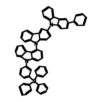 c1ccc(-c2ccc3c(c2)c2ccccc2n3-c2ccc3c(c2)c2ccccc2n3-c2cccc3c2c2ccccc2n3-c2cccc([Si](c3ccccc3)(c3ccccc3)c3ccccc3)c2)cc1